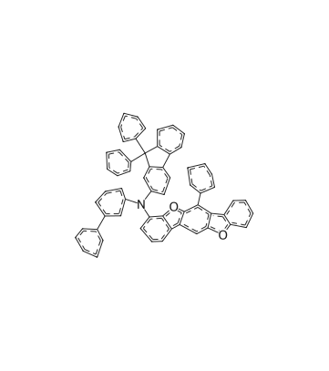 c1ccc(-c2cccc(N(c3ccc4c(c3)C(c3ccccc3)(c3ccccc3)c3ccccc3-4)c3cccc4c3oc3c(-c5ccccc5)c5c(cc34)oc3ccccc35)c2)cc1